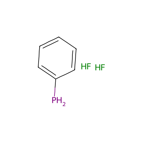 F.F.Pc1ccccc1